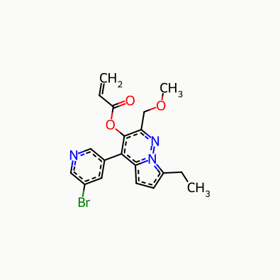 C=CC(=O)Oc1c(COC)nn2c(CC)ccc2c1-c1cncc(Br)c1